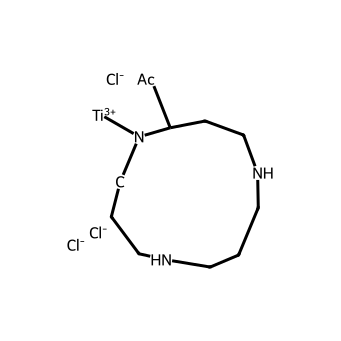 CC(=O)C1CCNCCCNCCC[N]1[Ti+3].[Cl-].[Cl-].[Cl-]